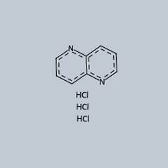 Cl.Cl.Cl.c1cnc2cccnc2c1